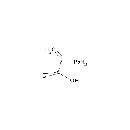 C=CC(=O)O.[PbH2]